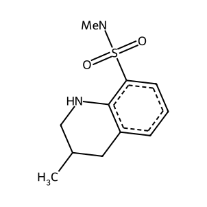 CNS(=O)(=O)c1cccc2c1NCC(C)C2